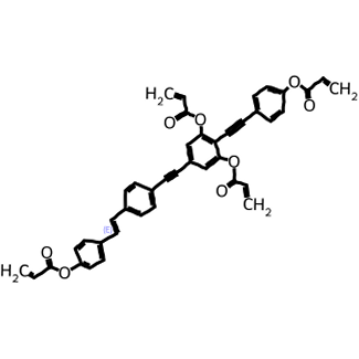 C=CC(=O)Oc1ccc(C#Cc2c(OC(=O)C=C)cc(C#Cc3ccc(/C=C/c4ccc(OC(=O)C=C)cc4)cc3)cc2OC(=O)C=C)cc1